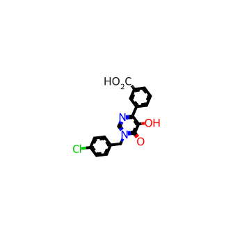 O=C(O)c1cccc(-c2ncn(Cc3ccc(Cl)cc3)c(=O)c2O)c1